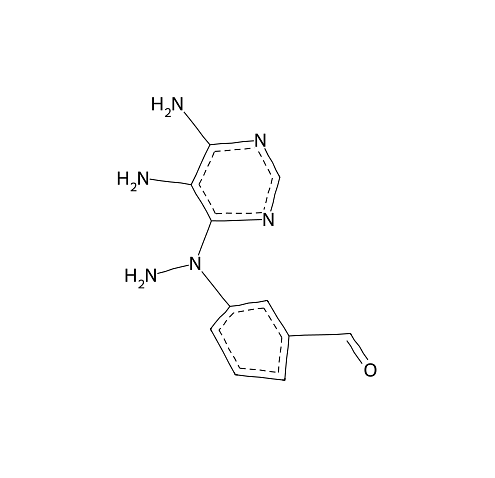 Nc1ncnc(N(N)c2cccc(C=O)c2)c1N